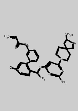 C=CC(=O)Nc1cccc(-c2cc(Cl)ccc2C(Oc2cc(N3CCC4(CC3)CNC(C(=O)O)C4)nc(N)n2)C(F)(F)F)c1